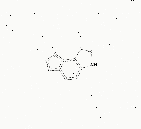 c1cc2ccc3c(c2s1)SSN3